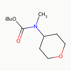 CC(C)COC(=O)N(C)C1CCOCC1